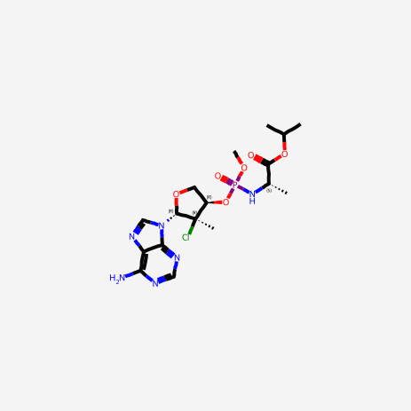 COP(=O)(N[C@@H](C)C(=O)OC(C)C)O[C@@H]1CO[C@@H](n2cnc3c(N)ncnc32)[C@]1(C)Cl